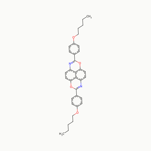 CCCCCOc1ccc(C2=Nc3ccc4c5c(ccc(c35)O2)N=C(c2ccc(OCCCCC)cc2)O4)cc1